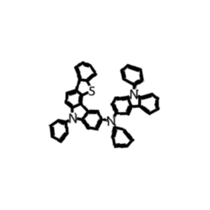 c1ccc(N(c2ccc3c(c2)c2ccccc2n3-c2ccccc2)c2ccc3c(c2)c2c4sc5ccccc5c4ccc2n3-c2ccccc2)cc1